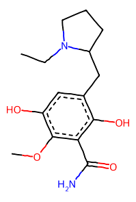 CCN1CCCC1Cc1cc(O)c(OC)c(C(N)=O)c1O